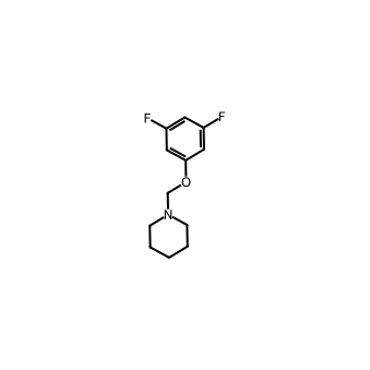 Fc1cc(F)cc(OCN2CCCCC2)c1